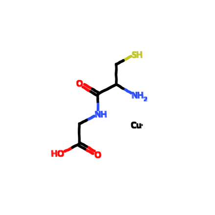 NC(CS)C(=O)NCC(=O)O.[Cu]